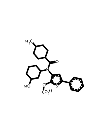 CC1CCC(C(=O)N(c2cc(-c3ccccc3)sc2OC(=O)O)C2CCCC(O)C2)CC1